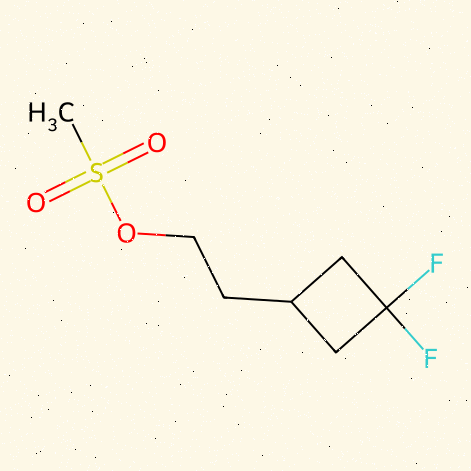 CS(=O)(=O)OCCC1CC(F)(F)C1